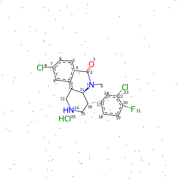 CN(C(=O)c1ccc(Cl)cc1)[C@@H]1CCNC[C@H]1c1ccc(F)c(Cl)c1.Cl